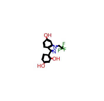 Oc1ccc(-c2nn(CC(F)(F)F)c3cc(O)ccc23)c(O)c1